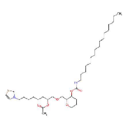 CCCCCCCCCCCCCCCCCNC(=O)OC1CCCOC1COCC(CCCCCCN1C=CSC1)OC(C)=O